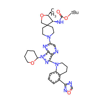 C[C@@H]1OCC2(CCN(c3cnc4c(N5CCCc6c(-c7ncon7)cccc65)nn(C5CCCCO5)c4n3)CC2)[C@@H]1NC(=O)OC(C)(C)C